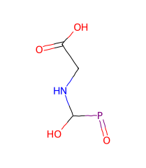 O=PC(O)NCC(=O)O